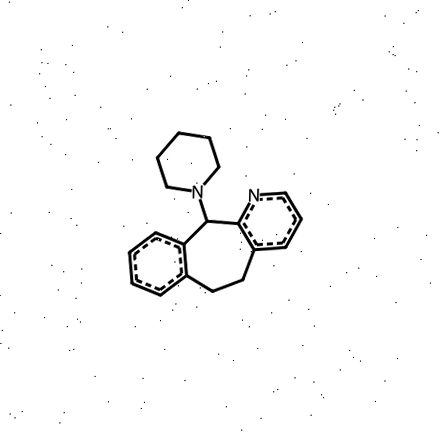 c1ccc2c(c1)CCc1cccnc1C2N1CCCCC1